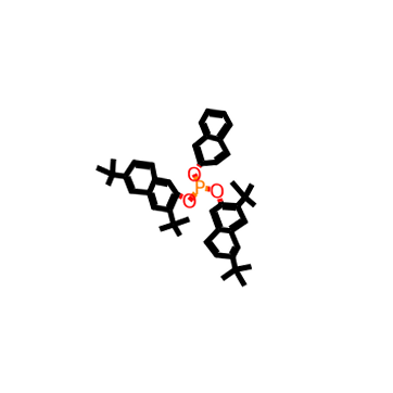 CC(C)(C)c1ccc2cc(OP(Oc3ccc4ccccc4c3)Oc3cc4ccc(C(C)(C)C)cc4cc3C(C)(C)C)c(C(C)(C)C)cc2c1